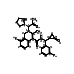 CC(=O)C([C@@H]1CCCN1)N1Cc2c(F)cccc2C(C(=O)N[C@H](c2cccc(F)c2)C2CC2=O)=C1C